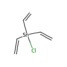 C=[CH][Sn]([Cl])([CH]=C)[CH]=C